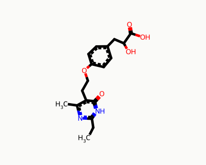 CCc1nc(C)c(CCOc2ccc(CC(O)C(=O)O)cc2)c(=O)[nH]1